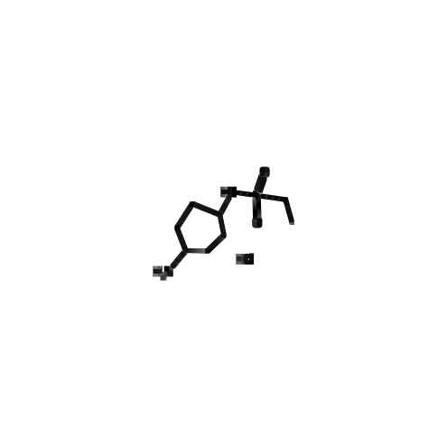 CCS(=O)(=O)NC1CCC(N)CC1.Cl